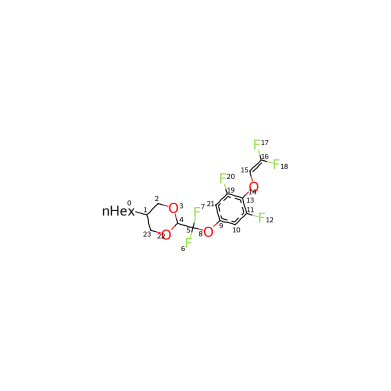 CCCCCCC1COC(C(F)(F)Oc2cc(F)c(OC=C(F)F)c(F)c2)OC1